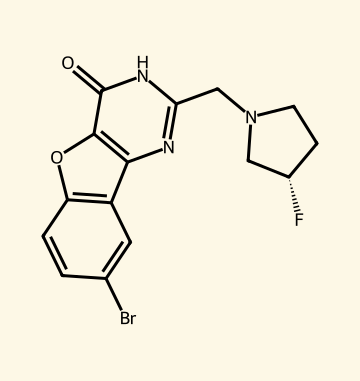 O=c1[nH]c(CN2CC[C@H](F)C2)nc2c1oc1ccc(Br)cc12